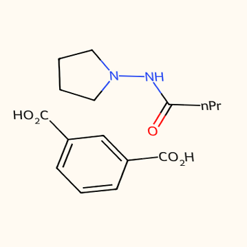 CCCC(=O)NN1CCCC1.O=C(O)c1cccc(C(=O)O)c1